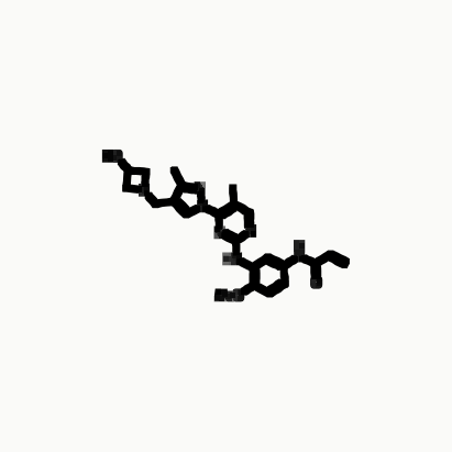 C=CC(=O)Nc1ccc(OC)c(Nc2ncc(C)c(-n3cc(CN4CC(O)C4)c(C)n3)n2)c1